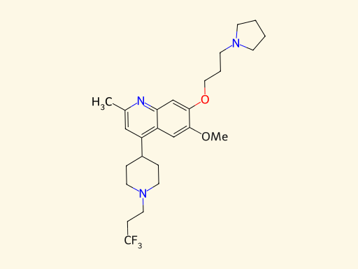 COc1cc2c(C3CCN(CCC(F)(F)F)CC3)cc(C)nc2cc1OCCCN1CCCC1